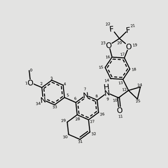 COc1ccc(-c2nc(NC(=O)C3(c4ccc5c(c4)OC(F)(F)O5)CC3)cc3c2CCC=C3)cn1